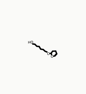 OCCCCCCCCOC1CCC=CO1